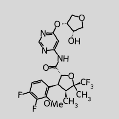 COc1c([C@H]2[C@H](C(=O)Nc3cc(O[C@@H]4COC[C@@H]4O)ncn3)O[C@@](C)(C(F)(F)F)[C@H]2C)ccc(F)c1F